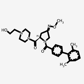 CON=C1C[C@H](C(=O)N2CCN(CCO)CC2)N(C(=O)c2ccc(-c3c(C)cccc3C)cc2)C1